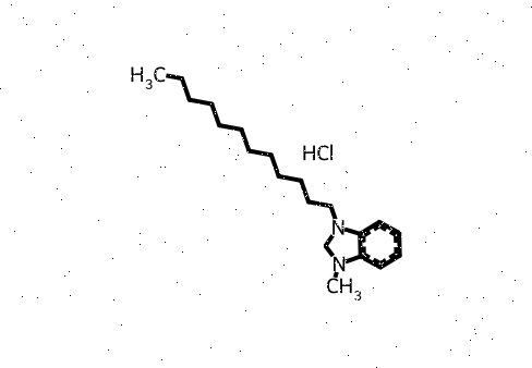 CCCCCCCCCCCCN1CN(C)c2ccccc21.Cl